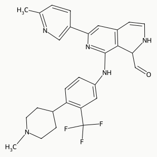 Cc1ccc(-c2cc3c(c(Nc4ccc(C5CCN(C)CC5)c(C(F)(F)F)c4)n2)C(C=O)NC=C3)cn1